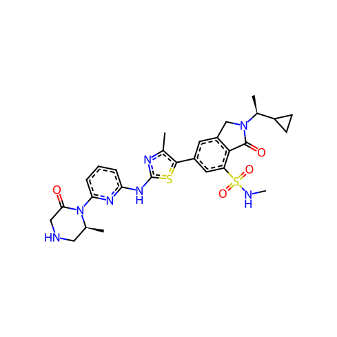 CNS(=O)(=O)c1cc(-c2sc(Nc3cccc(N4C(=O)CNC[C@@H]4C)n3)nc2C)cc2c1C(=O)N([C@@H](C)C1CC1)C2